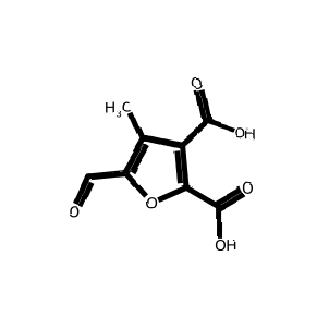 Cc1c(C=O)oc(C(=O)O)c1C(=O)O